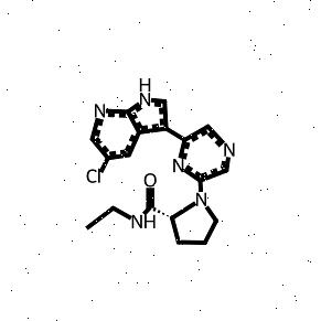 CCNC(=O)[C@H]1CCCN1c1cncc(-c2c[nH]c3ncc(Cl)cc23)n1